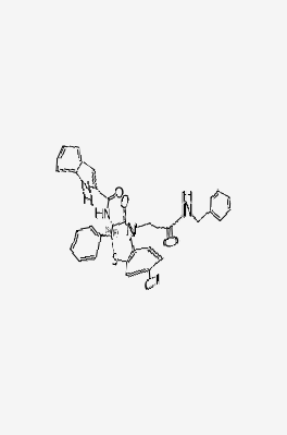 O=C(CN1C(=O)[C@@H](NC(=O)c2cc3ccccc3[nH]2)[C@H](c2ccccc2)Sc2cc(Cl)ccc21)NCc1ccccc1